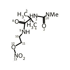 CNC(=O)NC(C)(C)C(=O)NCCO[N+](=O)[O-]